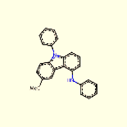 COc1ccc2c(c1)c1c(Nc3ccccc3)cccc1n2-c1ccccc1